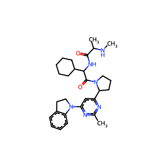 CNC(C)C(=O)NC(C(=O)N1CCCC1c1cc(N2CCc3ccccc32)nc(C)n1)C1CCCCC1